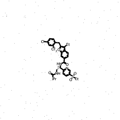 CCc1c(Cc2ccc(Cl)cc2C(F)(F)F)oc2cc(C(=O)N[C@@H](CNC(=O)C(C)C)c3ccc(S(=O)(=O)CC)cn3)ccc12